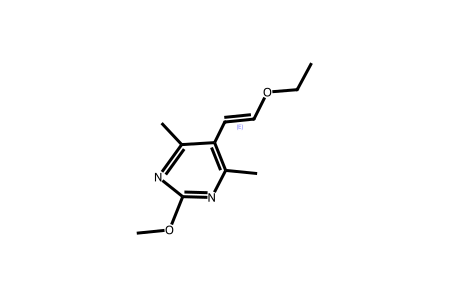 CCO/C=C/c1c(C)nc(OC)nc1C